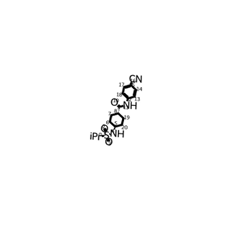 CC(C)S(=O)(=O)N[C@H]1CC[C@H](C(=O)Nc2ccc(C#N)cc2)CC1